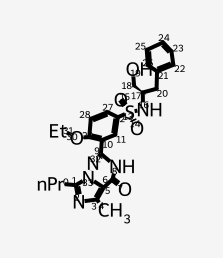 CCCc1nc(C)c2c(=O)[nH]c(-c3cc(S(=O)(=O)N[C@@H](CO)Cc4ccccc4)ccc3OCC)nn12